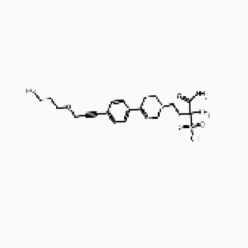 CC(CCN1CC=C(c2ccc(C#CCOCCCO)cc2)CC1)(C(N)=O)S(C)(=O)=O